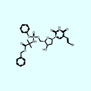 CC(C)(NP(=O)(OC[C@H]1O[C@@H](n2cc(/C=C/Br)c(=O)[nH]c2=O)CC1O)Oc1ccccc1)C(=O)OCc1ccccc1